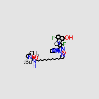 C#Cc1c(F)ccc2cc(O)cc(-c3ncc4c(N5CC6CCC(C5)N6)nc(ON5CCC(CCCCCCCCCCCC(=O)NC(C(=O)N6CCC[C@H]6C)C(C)(C)C)C5)nc4c3F)c12